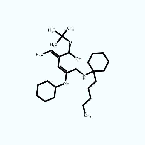 C/C=C(\C=C(/CNC1(CCCCC)CCCCC1)NC1CCCCC1)C(O)OC(C)(C)C